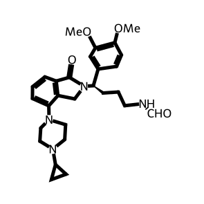 COc1ccc([C@@H](CCCNC=O)N2Cc3c(cccc3N3CCN(C4CC4)CC3)C2=O)cc1OC